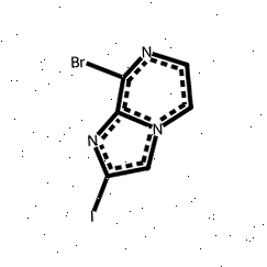 Brc1nccn2cc(I)nc12